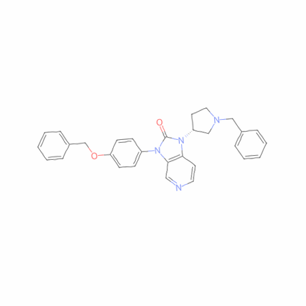 O=c1n(-c2ccc(OCc3ccccc3)cc2)c2cnccc2n1[C@@H]1CCN(Cc2ccccc2)C1